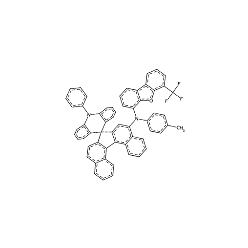 Cc1ccc(N(c2cc3c(c4ccccc24)-c2c(ccc4ccccc24)C32c3ccccc3N(c3ccccc3)c3ccccc32)c2cccc3c2oc2c(C(F)(F)F)cccc23)cc1